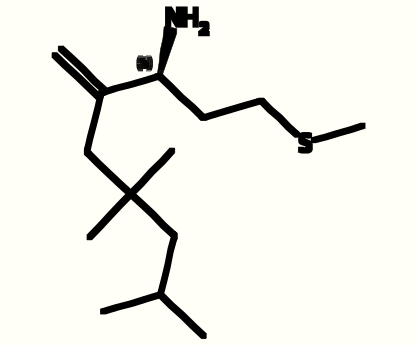 C=C(CC(C)(C)CC(C)C)[C@@H](N)CCSC